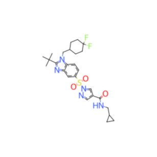 CC(C)(C)c1nc2cc(S(=O)(=O)n3cc(C(=O)NCC4CC4)cn3)ccc2n1CC1CCC(F)(F)CC1